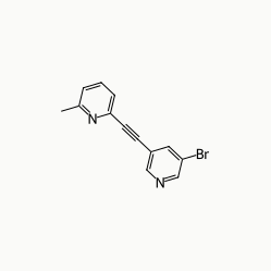 Cc1cccc(C#Cc2cncc(Br)c2)n1